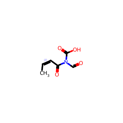 C/C=C\C(=O)N(C=O)C(=O)O